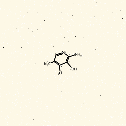 Cc1cnc(N)c(O)c1Cl